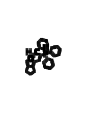 C/C(=C\c1occ2c1CCC2)[PH](c1ccccc1)(c1ccccc1)c1ccccc1